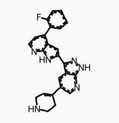 Fc1ccccc1-c1ccnc2[nH]c(-c3n[nH]c4ncc(C5=CCNCC5)cc34)cc12